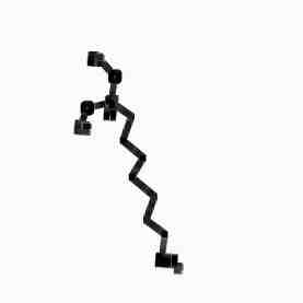 CCO[SiH](CCCCCCCN)OCC